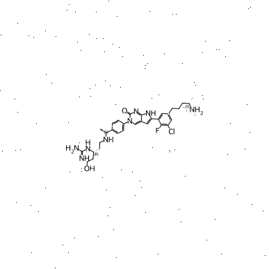 C[C@H](N)CCCc1cc(Cl)c(F)c(-c2cc3cn(-c4ccc([C@H](C)NCC[C@H](CCO)NC(=N)N)cc4)c(=O)nc3[nH]2)c1